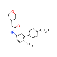 Cc1ccc(NC(=O)CC2CCOCC2)cc1-c1ccc(C(=O)O)cc1